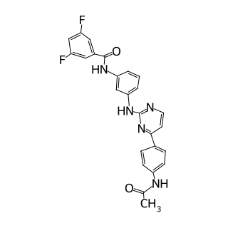 CC(=O)Nc1ccc(-c2ccnc(Nc3cccc(NC(=O)c4cc(F)cc(F)c4)c3)n2)cc1